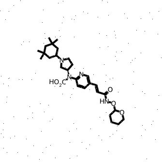 CC1(C)CC(N2CC[C@@H](N(C(=O)O)c3ccc(/C=C/C(=O)NOC4CCCCO4)cn3)C2)CC(C)(C)C1